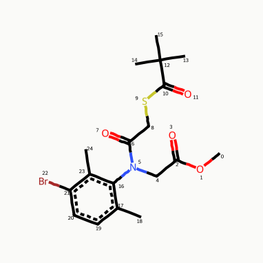 COC(=O)CN(C(=O)CSC(=O)C(C)(C)C)c1c(C)ccc(Br)c1C